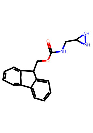 O=C(NCC1NN1)OCC1c2ccccc2-c2ccccc21